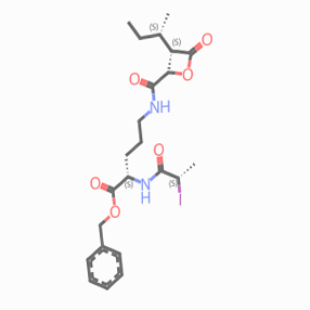 CC[C@H](C)[C@@H]1C(=O)OC1C(=O)NCCC[C@H](NC(=O)[C@H](C)I)C(=O)OCc1ccccc1